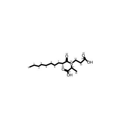 CCCCCCCCCC(=O)N(CCC(=O)O)C(C)C(=O)O